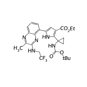 CCOC(=O)c1cc(-c2cccc3nc(C)c(NCC(F)(F)F)nc23)[nH]c1C1(NC(=O)OC(C)(C)C)CC1